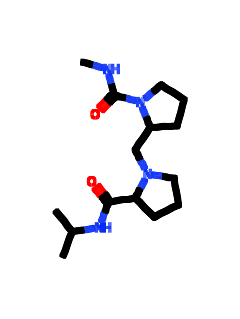 CNC(=O)N1CCCC1CN1CCCC1C(=O)NC(C)C